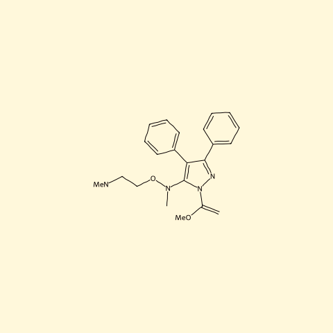 C=C(OC)n1nc(-c2ccccc2)c(-c2ccccc2)c1N(C)OCCNC